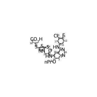 CCCOc1cc2ncnc(Nc3ccc(F)c(Cl)c3)c2cc1NC(=O)Cn1nc(SCCC(=O)O)sc1=S